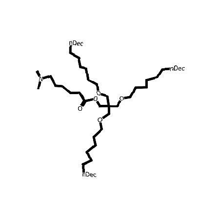 CCCCCCCCCCCCCCCCOCC(COCCCCCCCCCCCCCCCC)(COCCCCCCCCCCCCCCCC)COC(=O)CCCCCN(C)C